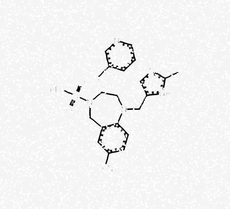 CCCS(=O)(=O)N1Cc2cc(C#N)ccc2N(Cc2cnc(C)[nH]2)C[C@H]1Cc1cccnc1